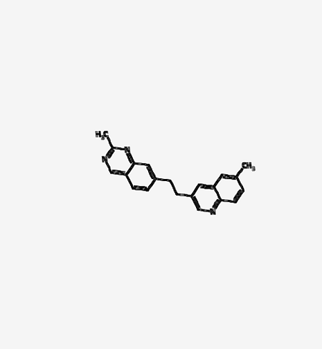 Cc1ccc2ncc(CCc3ccc4cnc(C)nc4c3)cc2c1